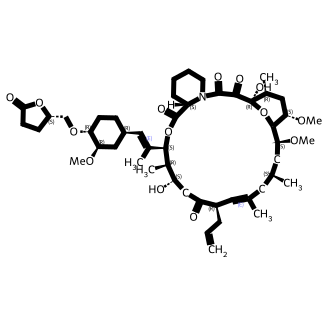 C=CC[C@@H]1/C=C(\C)C[C@H](C)C[C@H](OC)C2O[C@@](O)(C(=O)C(=O)N3CCCC[C@H]3C(=O)O[C@H](/C(C)=C/[C@@H]3CC[C@@H](OC[C@@H]4CCC(=O)O4)[C@H](OC)C3)[C@H](C)[C@@H](O)CC1=O)[C@H](C)C[C@@H]2OC